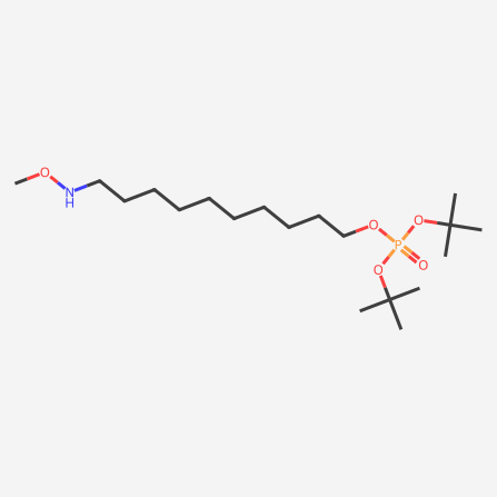 CONCCCCCCCCCCOP(=O)(OC(C)(C)C)OC(C)(C)C